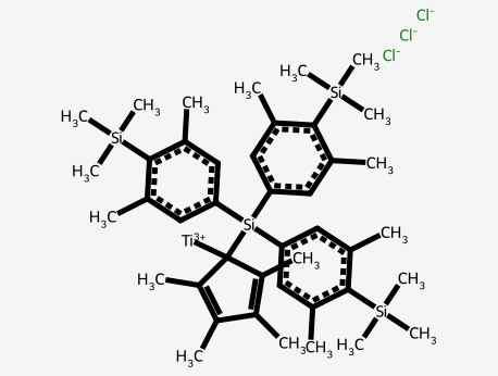 CC1=C(C)[C]([Ti+3])([Si](c2cc(C)c([Si](C)(C)C)c(C)c2)(c2cc(C)c([Si](C)(C)C)c(C)c2)c2cc(C)c([Si](C)(C)C)c(C)c2)C(C)=C1C.[Cl-].[Cl-].[Cl-]